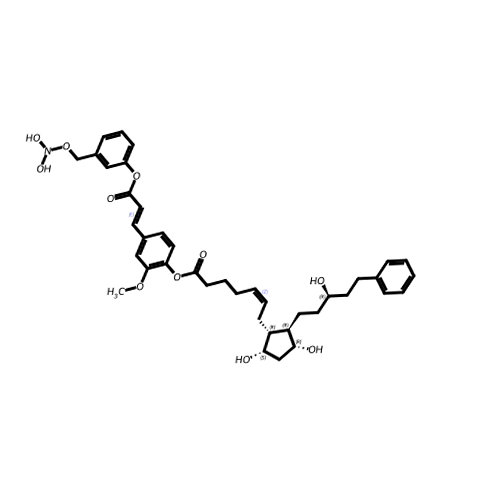 COc1cc(/C=C/C(=O)Oc2cccc(CON(O)O)c2)ccc1OC(=O)CCC/C=C\C[C@@H]1[C@@H](CC[C@@H](O)CCc2ccccc2)[C@H](O)C[C@@H]1O